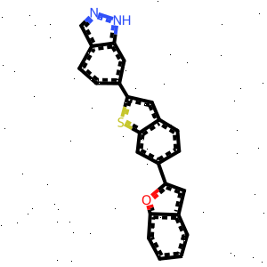 c1ccc2oc(-c3ccc4cc(-c5ccc6cn[nH]c6c5)sc4c3)cc2c1